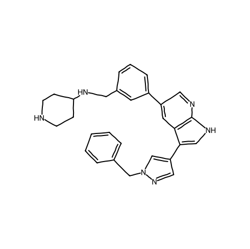 c1ccc(Cn2cc(-c3c[nH]c4ncc(-c5cccc(CNC6CCNCC6)c5)cc34)cn2)cc1